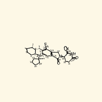 CC1(N[C@H]2CCCC[C@@H]2Cc2ccc3c(c2F)CN(C2CCC(=O)NC2=O)C3=O)CCCC1